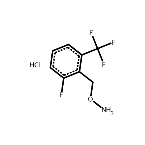 Cl.NOCc1c(F)cccc1C(F)(F)F